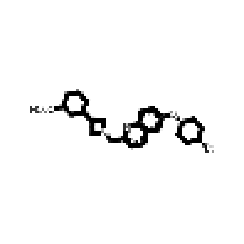 CC[C@H]1CC[C@@H](Oc2ccc3nc(CN4CC(C5CCCC(C(=O)O)C5)C4)ccc3c2)CC1